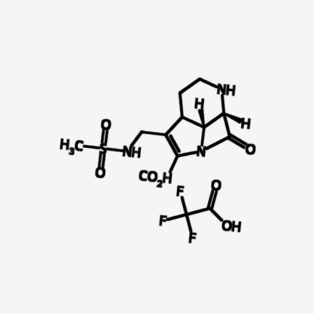 CS(=O)(=O)NCC1=C(C(=O)O)N2C(=O)[C@H]3NCCC1[C@H]32.O=C(O)C(F)(F)F